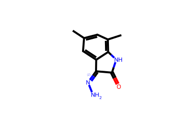 Cc1cc(C)c2c(c1)/C(=N/N)C(=O)N2